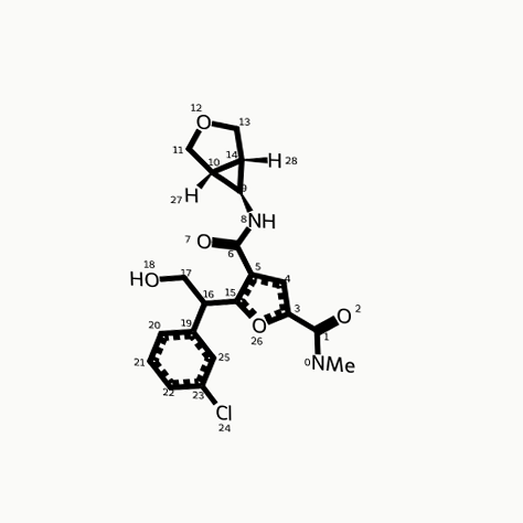 CNC(=O)c1cc(C(=O)N[C@H]2[C@@H]3COC[C@@H]32)c(C(CO)c2cccc(Cl)c2)o1